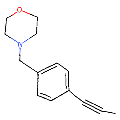 CC#Cc1ccc(CN2CCOCC2)cc1